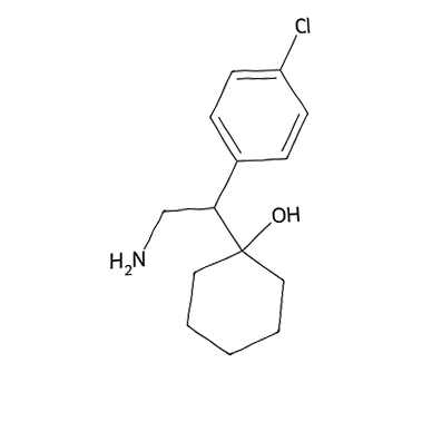 NCC(c1ccc(Cl)cc1)C1(O)CCCCC1